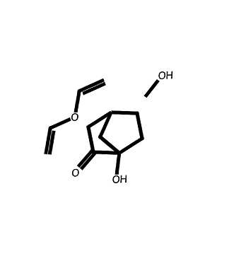 C=COC=C.CO.O=C1CC2CCC1(O)C2